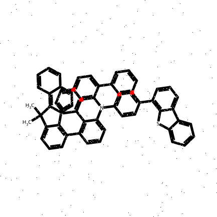 CC1(C)c2cccc(-c3cccc(N(c4ccc(-c5cccc6c5sc5ccccc56)cc4)c4ccccc4-c4ccccc4)c3-c3ccccc3)c2-c2ccc3ccccc3c21